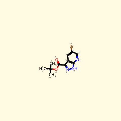 CC(C)(C)OC(=O)c1n[nH]c2ncc(Br)cc12